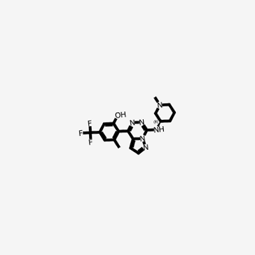 Cc1cc(C(F)(F)F)cc(O)c1-c1nnc(N[C@@H]2CCCN(C)C2)n2nccc12